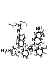 CN(C)C=Nc1ncc2cc(-c3c(Cl)cccc3Cl)c(N=CN(C)C)nc2n1.Nc1ncc2cc(-c3c(Cl)cccc3Cl)c(N)nc2n1